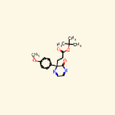 COc1ccc(C2(CCC(=O)OC(C)(C)C)N=CC=NC2=O)cc1